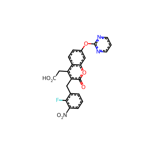 O=C(O)Cc1c(Cc2cccc([N+](=O)[O-])c2F)c(=O)oc2cc(Oc3ncccn3)ccc12